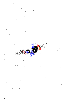 CC(C)(C)OC(=O)N1CCC[C@H](Nc2ncc3c(n2)-c2c[nH]c4cc(S(C)(=O)=O)cc(c24)C3)C1